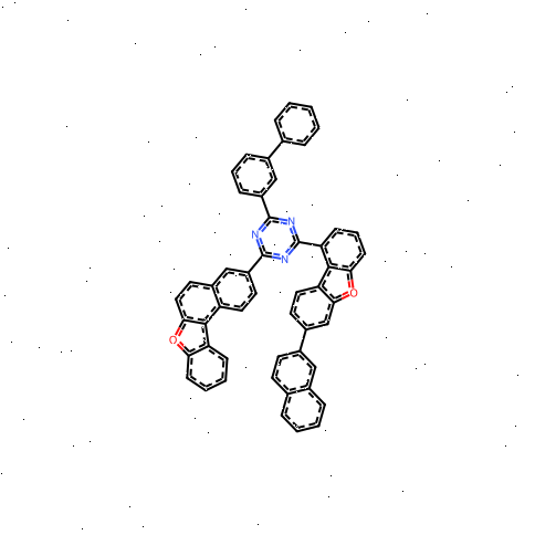 c1ccc(-c2cccc(-c3nc(-c4ccc5c(ccc6oc7ccccc7c65)c4)nc(-c4cccc5oc6cc(-c7ccc8ccccc8c7)ccc6c45)n3)c2)cc1